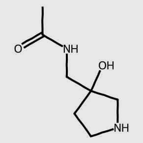 CC(=O)NCC1(O)CCNC1